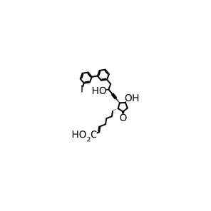 O=C(O)/C=C/CCCC[C@H]1C(=O)C[C@@H](O)[C@@H]1C#C[C@@H](O)Cc1cccc(-c2cccc(I)c2)c1